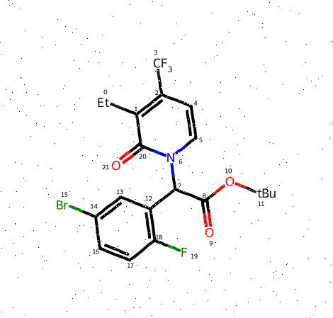 CCc1c(C(F)(F)F)ccn(C(C(=O)OC(C)(C)C)c2cc(Br)ccc2F)c1=O